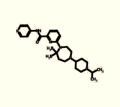 BC1(B)CCN(C2CCN(C(C)C)CC2)CCN1c1cccc(C(=O)Nc2ccncc2)n1